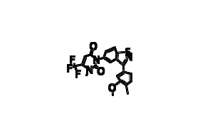 COc1cc(-c2nsc3ccc(-n4c(=O)cc(C(F)(F)F)n(C)c4=O)cc23)ccc1C